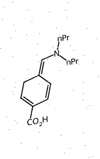 CCCN(C=C1C=CC(C(=O)O)=CC1)CCC